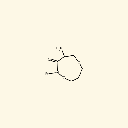 CCN1CCCCCCC(N)C1=O